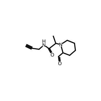 C#CCNC(=O)C(C)N1CCCCC1C=O